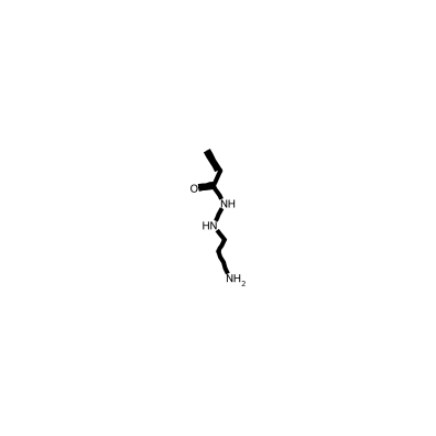 C=CC(=O)NNCCN